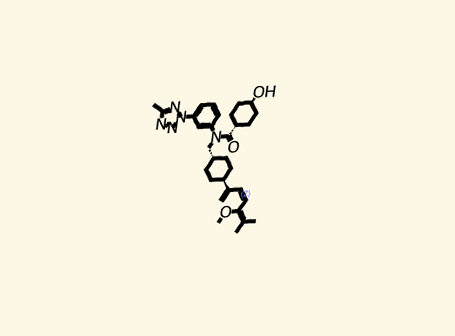 C=C(/C=C\C(OC)=C(C)C)[C@H]1CC[C@H](CN(c2cccc(-n3nnc(C)n3)c2)C(=O)[C@H]2CC[C@H](O)CC2)CC1